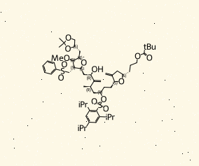 C=C([C@H](C)C[C@@H](CC[C@@H]1O[C@@H](CCCOC(=O)C(C)(C)C)CC1=C)OS(=O)(=O)c1c(C(C)C)cc(C(C)C)cc1C(C)C)[C@H](O)C[C@@H]1O[C@H](C[C@H]2COC(C)(C)O2)[C@H](OC)[C@H]1CS(=O)(=O)c1ccccc1